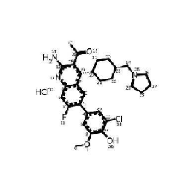 COc1cc(-c2cc3c(cc2F)nc(N)c(C(C)=O)c3[C@H]2CC[C@H](CN3CCCC3)CC2)cc(Cl)c1O.Cl